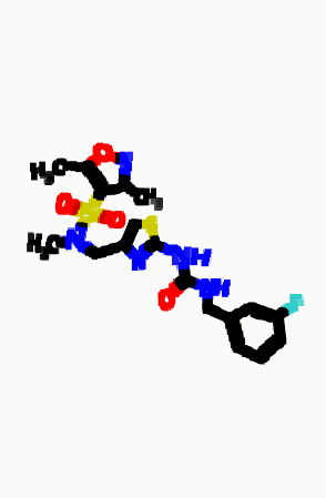 Cc1noc(C)c1S(=O)(=O)N(C)Cc1csc(NC(=O)NCc2cccc(F)c2)n1